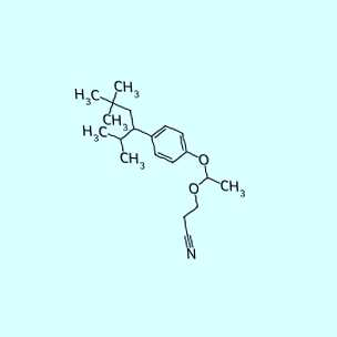 CC(OCCC#N)Oc1ccc(C(CC(C)(C)C)C(C)C)cc1